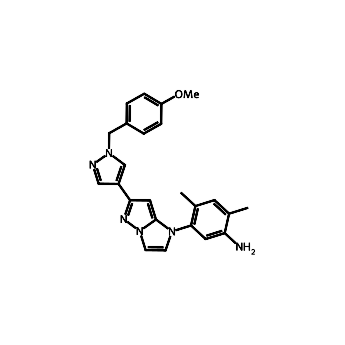 COc1ccc(Cn2cc(-c3cc4n(-c5cc(N)c(C)cc5C)ccn4n3)cn2)cc1